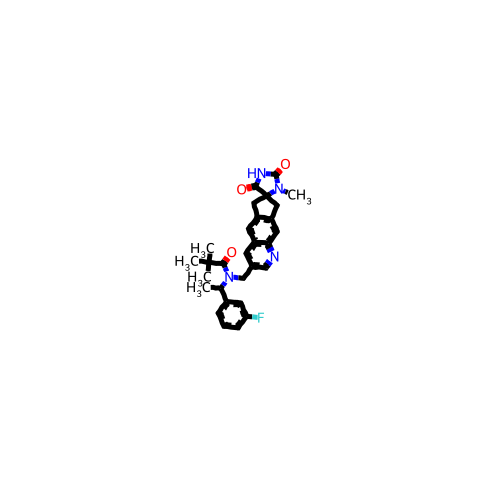 CC(c1cccc(F)c1)N(Cc1cnc2cc3c(cc2c1)CC1(C3)C(=O)NC(=O)N1C)C(=O)C(C)(C)C